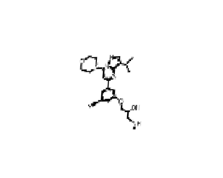 CNC[C@H](O)COc1cc(C#N)cc(-c2cc(N3CCOCC3)n3ncc(C(C)C)c3n2)c1